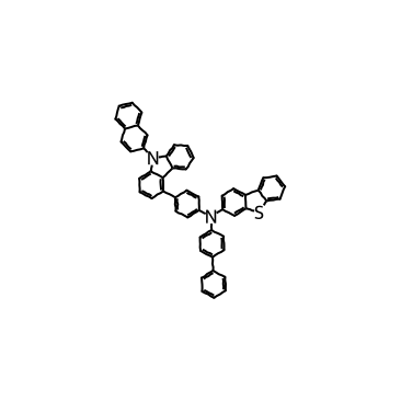 c1ccc(-c2ccc(N(c3ccc(-c4cccc5c4c4ccccc4n5-c4ccc5ccccc5c4)cc3)c3ccc4c(c3)sc3ccccc34)cc2)cc1